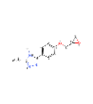 CSc1nnc(-c2ccc(OCC3CO3)cc2)n1C